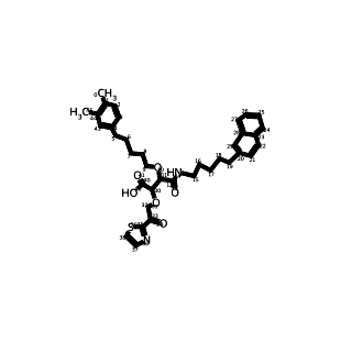 Cc1ccc(CCCCCOC(C(=O)NCCCCCc2ccc3ccccc3c2)C(OCC(=O)c2nccs2)C(=O)O)cc1C